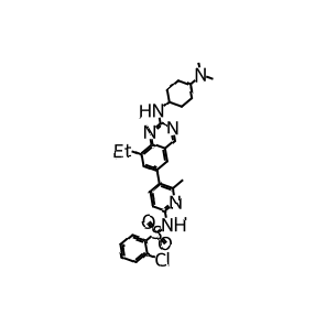 CCc1cc(-c2ccc(NS(=O)(=O)c3ccccc3Cl)nc2C)cc2cnc(NC3CCC(N(C)C)CC3)nc12